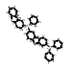 c1ccc(N(c2ccccc2)c2ccc3c(c2)sc2ccc(N(c4ccccc4)c4ccc5sc6ccccc6c5c4)cc23)cc1